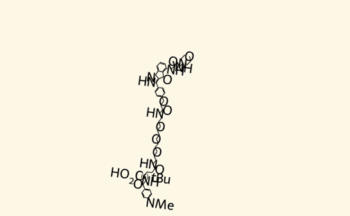 CNc1ccc(C(=O)N[C@@H](CC(C(=O)NCCOCCOCCOCCNC(=O)COc2ccc(-c3[nH]nc4c3C(=O)c3c(NC(=O)NN5CCOCC5)cccc3-4)cc2)C(C)(C)C)C(=O)O)cc1